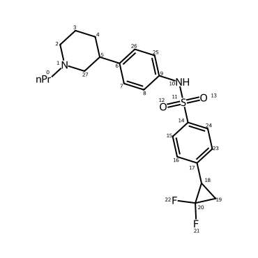 CCCN1CCCC(c2ccc(NS(=O)(=O)c3ccc(C4CC4(F)F)cc3)cc2)C1